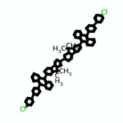 CC1(C)c2cc(-c3ccc4c(c3)C(C)(C)c3cc(-c5c6ccccc6c(-c6ccc(-c7ccc(Cl)cc7)cc6)c6ccccc56)ccc3-4)ccc2-c2ccc(-c3c4ccccc4c(-c4ccc(-c5ccc(Cl)cc5)cc4)c4ccccc34)cc21